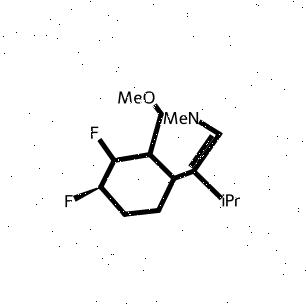 CN/C=C(/C(C)C)C1CC[C@@H](F)C(F)C1COC